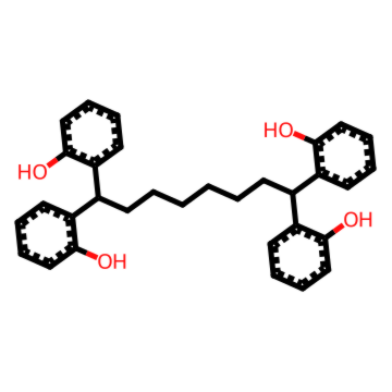 Oc1ccccc1C(CCCCCCC(c1ccccc1O)c1ccccc1O)c1ccccc1O